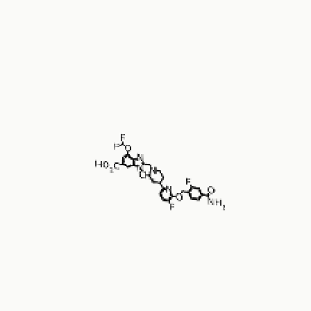 Cn1c(CN2CCC(c3ccc(F)c(OCc4ccc(C(N)=O)cc4F)n3)CC2)nc2c(OC(F)F)cc(C(=O)O)cc21